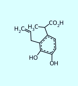 C=CCc1c(C(C)C(=O)O)ccc(O)c1O